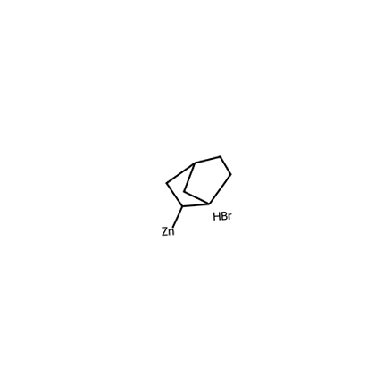 Br.[Zn][CH]1CC2CCC1C2